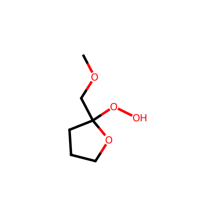 COCC1(OO)CCCO1